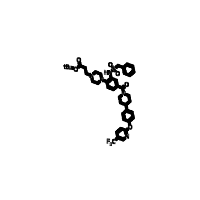 CC(C)(C)OC(=O)CCN1CCN(c2ccc(C(=O)N3CCC(c4ccc(Oc5ccc(C(F)(F)F)cn5)cc4)CC3)cc2NS(=O)(=O)Cc2ccccc2)CC1